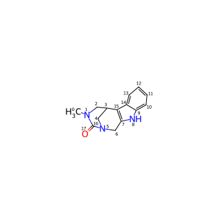 CN1CC2CN(Cc3[nH]c4ccccc4c32)C1=O